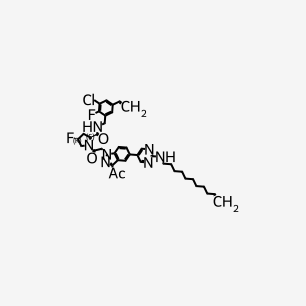 C=CCCCCCCCCCNc1ncc(-c2ccc3c(c2)c(C(C)=O)nn3CC(=O)N2C[C@H](F)C[C@H]2C(=O)NCc2cc(C=C)cc(Cl)c2F)cn1